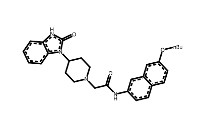 CCCCOc1ccc2ccc(NC(=O)CN3CCC(n4c(=O)[nH]c5ccccc54)CC3)cc2c1